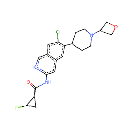 O=C(Nc1cc2cc(C3CCN(C4COC4)CC3)c(Cl)cc2cn1)[C@H]1C[C@H]1F